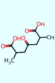 CC(CC(=O)CC(C)C(=O)O)C(=O)O